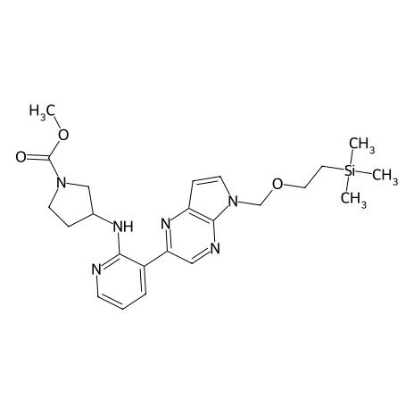 COC(=O)N1CCC(Nc2ncccc2-c2cnc3c(ccn3COCC[Si](C)(C)C)n2)C1